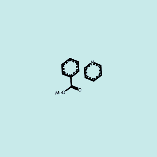 COC(=O)c1ccccc1.c1ccncc1